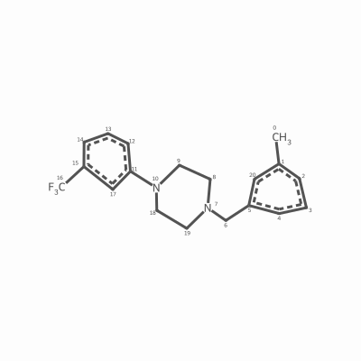 Cc1cccc(CN2CCN(c3cccc(C(F)(F)F)c3)CC2)c1